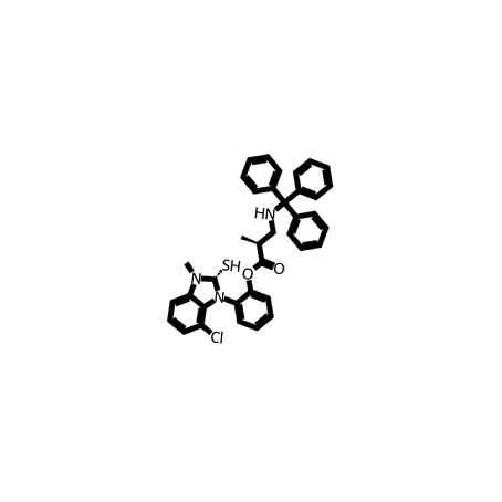 C[C@@H](CNC(c1ccccc1)(c1ccccc1)c1ccccc1)C(=O)Oc1ccccc1N1c2c(Cl)cccc2N(C)[C@@H]1S